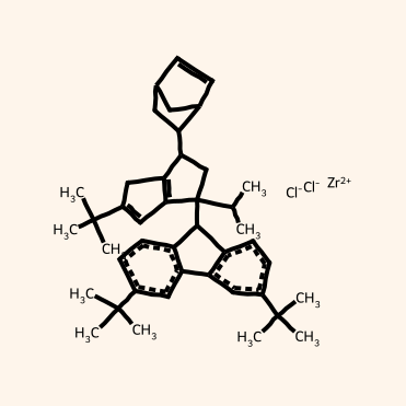 CC(C)C1(C2c3ccc(C(C)(C)C)cc3-c3cc(C(C)(C)C)ccc32)CC(C2CC3C=CC2C3)C2=C1C=C(C(C)(C)C)C2.[Cl-].[Cl-].[Zr+2]